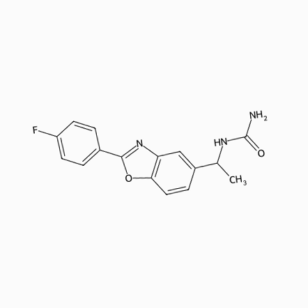 CC(NC(N)=O)c1ccc2oc(-c3ccc(F)cc3)nc2c1